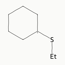 CCS[C]1CCCCC1